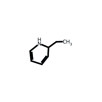 CCC1C=CC=CN1